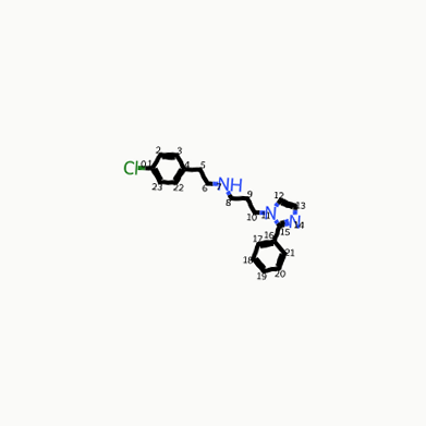 Clc1ccc(CCNCCCn2ccnc2-c2ccccc2)cc1